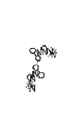 CC1=NC(C)(C)C(C)(C)N1c1cccc(-n2c3ccccc3c3cc(-c4ccc5c(c4)c4ccccc4n5-c4cccc(N5C(C)=NC(C)(C)C5(C)C)n4)ccc32)n1